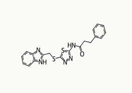 O=C(CCc1ccccc1)Nc1nnc(SCc2nc3ccccc3[nH]2)s1